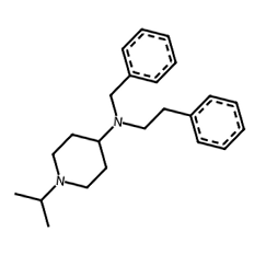 CC(C)N1CCC(N(CCc2ccccc2)Cc2ccccc2)CC1